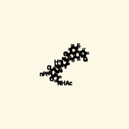 CCCn1c(=O)c2[nH]c(-c3ccc(N(CCCN4CCCC4=O)C(=O)c4ccc(F)cc4)nc3)nc2n(CCNC(C)=O)c1=O